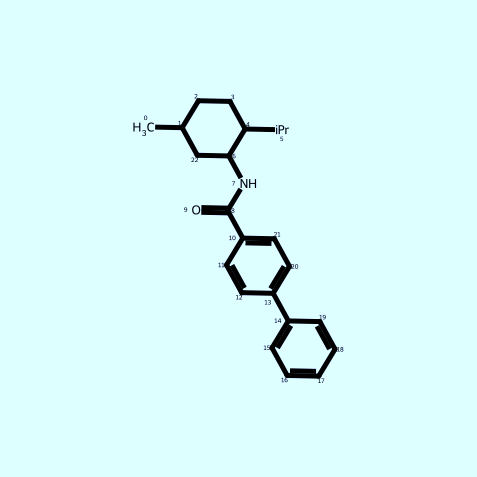 CC1CCC(C(C)C)C(NC(=O)c2ccc(-c3ccccc3)cc2)C1